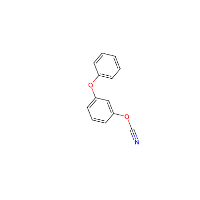 N#COc1cccc(Oc2ccccc2)c1